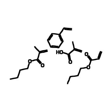 C=C(C)C(=O)O.C=C(C)C(=O)OCCCC.C=CC(=O)OCCCC.C=Cc1ccccc1